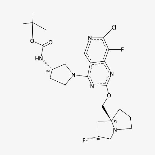 CC(C)(C)OC(=O)N[C@H]1CCN(c2nc(OC[C@@]34CCCN3C[C@H](F)C4)nc3c(F)c(Cl)ncc23)C1